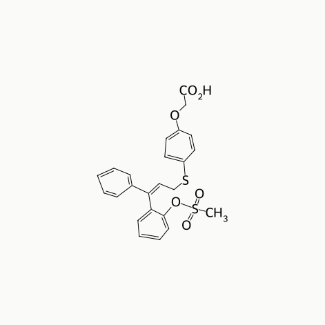 CS(=O)(=O)Oc1ccccc1/C(=C\CSc1ccc(OCC(=O)O)cc1)c1ccccc1